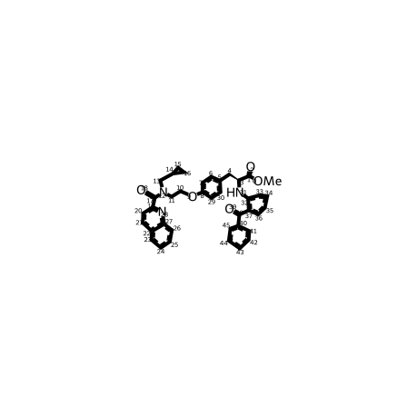 COC(=O)[C@H](Cc1ccc(OCCN(CC2CC2)C(=O)c2ccc3ccccc3n2)cc1)Nc1ccccc1C(=O)c1ccccc1